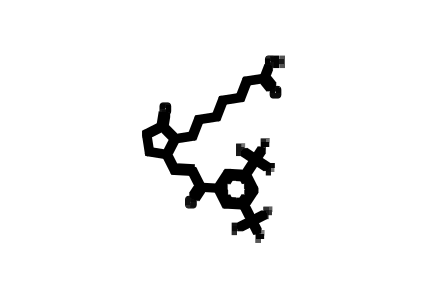 O=C(O)CCCCCCC1C(=O)CCC1C=CC(=O)c1cc(C(F)(F)F)cc(C(F)(F)F)c1